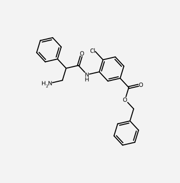 NCC(C(=O)Nc1cc(C(=O)OCc2ccccc2)ccc1Cl)c1ccccc1